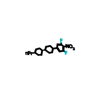 CCC[C@H]1CC[C@H](C2CCC(c3cc(F)c([N+](=O)[O-])c(F)c3)CC2)CC1